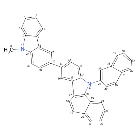 Cn1c2ccccc2c2cc(-c3ccc4c(c3)c3ccc5ccccc5c3n4-c3ccc4ccccc4c3)ccc21